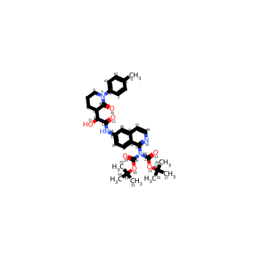 Cc1ccc(N2CCCC(C(O)C(=O)Nc3ccc4c(N(C(=O)OC(C)(C)C)C(=O)OC(C)(C)C)nccc4c3)C2=O)cc1